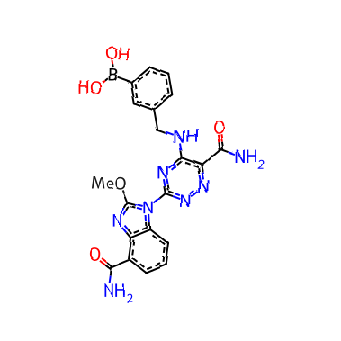 COc1nc2c(C(N)=O)cccc2n1-c1nnc(C(N)=O)c(NCc2cccc(B(O)O)c2)n1